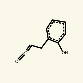 O=C=CCc1ccccc1O